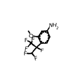 COc1cc(N)ccc1C(F)(C(F)F)C(F)(F)F